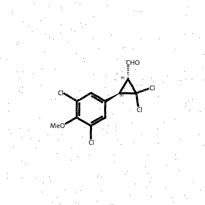 COc1c(Cl)cc([C@H]2[C@H](C=O)C2(Cl)Cl)cc1Cl